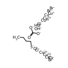 CCCC[S-].O=C([O-])[O-].[Br-].[Br-].[Br-].[Cl-].[Cl-].[Cl-].[Cu+2].[Cu+2].[Cu+2].[Cu+2].[Cu+].[Cu+].[Cu+].[Cu].[OH-].[OH-]